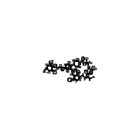 CCN(CCc1ccc(Cl)c(CN(C(=O)[C@H]2CN(C(=O)OC(C)(C)C)CC[C@@H]2c2ccc(OCCOc3c(Cl)cc(C)cc3Cl)cc2)C2CC2)c1)C(=O)OC(C)(C)C